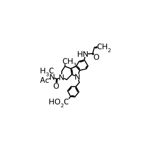 C=CC(=O)Nc1ccc2c(c1)c1c(n2Cc2ccc(C(=O)O)cc2)CN(C(=O)N(C)C(C)=O)CC1C